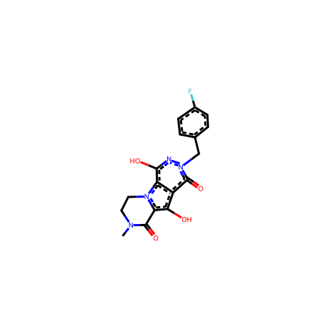 CN1CCn2c(c(O)c3c(=O)n(Cc4ccc(F)cc4)nc(O)c32)C1=O